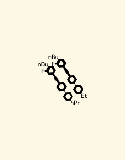 CCCCc1ccc(C#CC2CCC([C@H]3CC[C@H](CC)CC3)CC2)cc1F.CCCCc1ccc(C#CC2CCC([C@H]3CC[C@H](CCC)CC3)CC2)cc1F